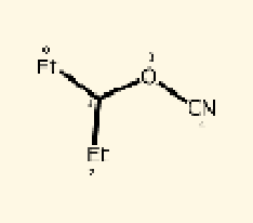 CCC(CC)OC#N